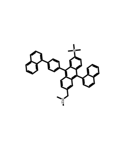 C[SiH](C)Cc1ccc2c(-c3ccc(-c4cccc5ccccc45)cc3)c3cc([Si](C)(C)C)ccc3c(-c3cccc4ccccc34)c2c1